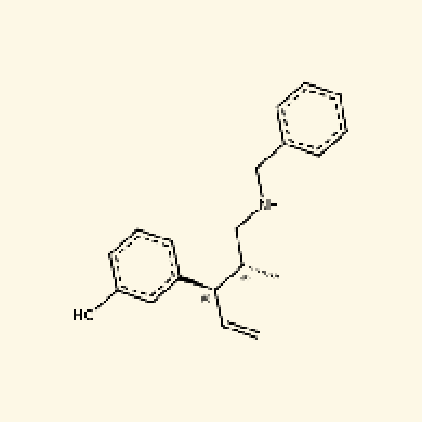 C=C[C@@H](c1cccc(O)c1)[C@@H](C)CNCc1ccccc1